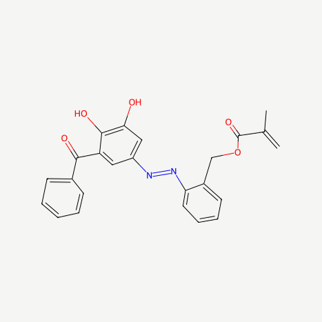 C=C(C)C(=O)OCc1ccccc1N=Nc1cc(O)c(O)c(C(=O)c2ccccc2)c1